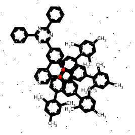 Cc1cc(C)c(-c2ccc3c(c2)c2cc(-c4c(C)cc(C)cc4C)ccc2n3-c2ccc(-c3nc(-c4ccccc4)nc(-c4ccccc4)n3)cc2-c2ccncc2-n2c3ccc(-c4c(C)cc(C)cc4C)cc3c3cc(-c4c(C)cc(C)cc4C)ccc32)c(C)c1